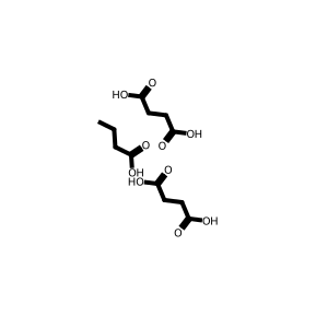 CCCC(=O)O.O=C(O)CCC(=O)O.O=C(O)CCC(=O)O